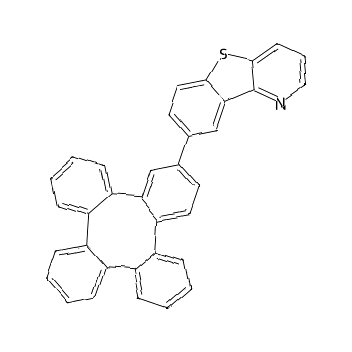 c1ccc2c(c1)-c1ccccc1-c1ccc(-c3ccc4sc5cccnc5c4c3)cc1-c1ccccc1-2